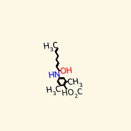 C/C=C/CC/C=C/C(O)Nc1cc(C)c(CC(=O)O)c(C)c1